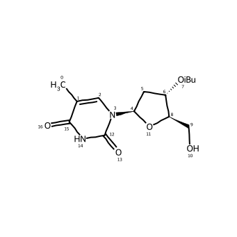 Cc1cn([C@H]2C[C@H](OCC(C)C)[C@@H](CO)O2)c(=O)[nH]c1=O